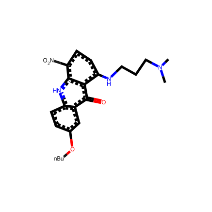 CCCCOc1ccc2[nH]c3c([N+](=O)[O-])ccc(NCCCN(C)C)c3c(=O)c2c1